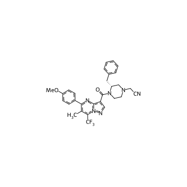 COc1ccc(-c2nc3c(C(=O)N4CCN(CC#N)C[C@H]4Cc4ccccc4)cnn3c(C(F)(F)F)c2C)cc1